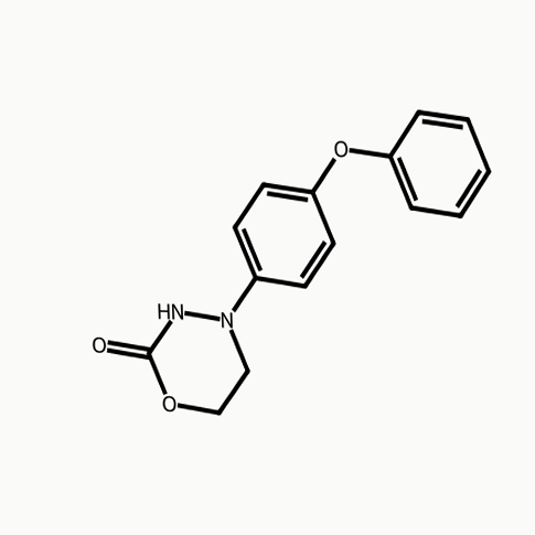 O=C1NN(c2ccc(Oc3ccccc3)cc2)CCO1